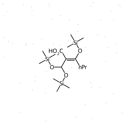 CCCC(O[Si](C)(C)C)=C(C(=O)O)C(O[Si](C)(C)C)O[Si](C)(C)C